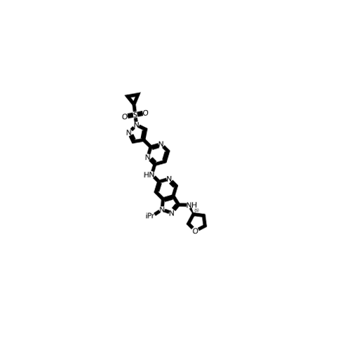 CC(C)n1nc(N[C@H]2CCOC2)c2cnc(Nc3ccnc(-c4cnn(S(=O)(=O)C5CC5)c4)n3)cc21